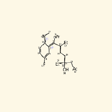 CCC/C(=C1/C=C(F)C=C/C1=N/C)C(CC)CC[C@](O)(CC)CC(C)=O